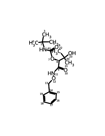 CC(C)(C)NC(=O)O[C@H](C(=O)NOCc1ccccc1)C(C)(C)O